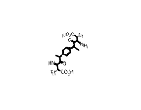 CC[C@H](C(=N)C(=O)C(C)c1ccc(C(C)C(=O)C(=N)[C@@H](CC)C(=O)O)cc1)C(=O)O